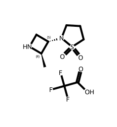 C[C@H]1NC[C@@H]1N1CCCS1(=O)=O.O=C(O)C(F)(F)F